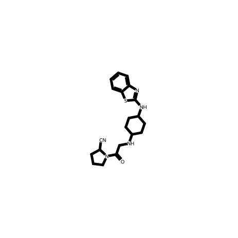 N#CC1CCCN1C(=O)CNC1CCC(Nc2nc3ccccc3s2)CC1